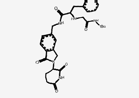 CC(C)(C)NC(=O)CNC(Cc1ccccc1)C(=O)NCc1ccc2c(c1)CN(C1CCC(=O)NC1=O)C2=O